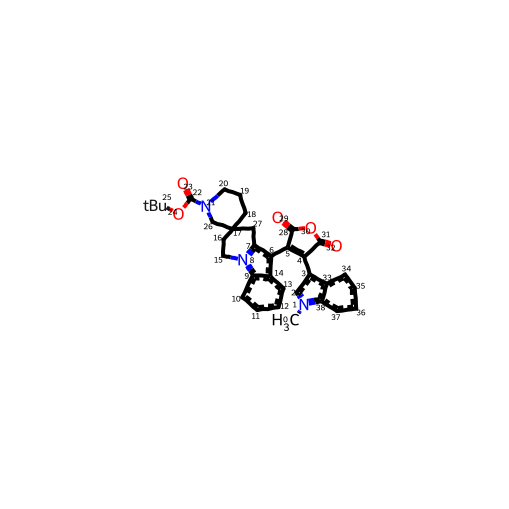 Cn1cc(C2=C(c3c4n(c5ccccc35)CCC3(CCCN(C(=O)OC(C)(C)C)C3)C4)C(=O)OC2=O)c2ccccc21